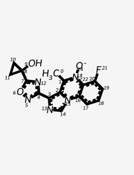 Cc1c2c(-c3noc(C4(O)CC4)n3)ncn2c2cccc(F)c2[n+]1[O-]